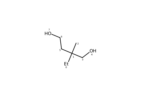 CCC(C)(CO)CCO